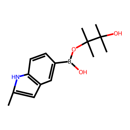 Cc1cc2cc(B(O)OC(C)(C)C(C)(C)O)ccc2[nH]1